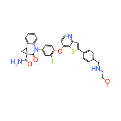 COCCNCc1ccc(-c2cc3nccc(Oc4ccc(N(C(=O)C5(C(N)=O)CC5)c5ccccc5)cc4F)c3s2)cc1